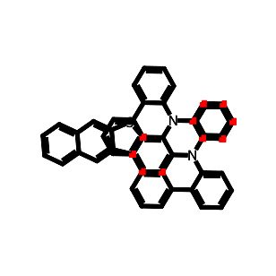 c1ccc(-c2ccccc2N(c2ccccc2)c2ccc3c(sc4cc5ccccc5cc43)c2N(c2ccccc2)c2ccccc2-c2ccccc2)cc1